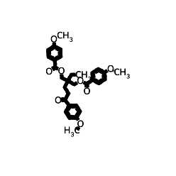 CCC(CCC(=O)c1ccc(OC)cc1)(COC(=O)c1ccc(OC)cc1)COC(=O)c1ccc(OC)cc1